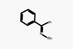 CC(C)/C(=N\C(C)(C)C)c1ccccc1